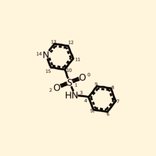 O=S(=O)(Nc1[c]cccc1)c1cccnc1